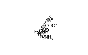 Nc1nc(/C(=N/OCF)C(=O)N[C@@H]2C(=O)N3C(C(=O)[O-])=C(C=CCn4cc5scc[n+]5c4)CS[C@H]23)ns1